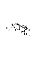 CC(C)OC(OC(C)C)P(O)O